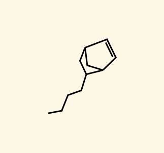 CCCCC1CC2C=CC1C2